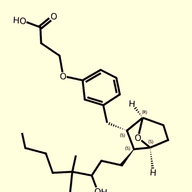 CCCCC(C)(C)C(O)CC[C@H]1[C@H](Cc2cccc(OCCC(=O)O)c2)[C@H]2CC[C@@H]1O2